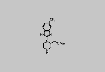 COCC1CNCCN1c1nc2cc(C(F)(F)F)ccc2[nH]1